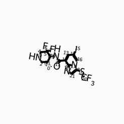 C[C@@H]1CNCC(F)(F)[C@H]1NC(=O)c1cc(I)cn2c(SC(F)(F)F)cnc12